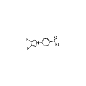 CCC(=O)c1ccc(-n2cc(F)c(F)c2)cc1